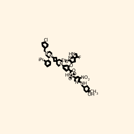 CCOc1nc2[nH]cc(F)c2cc1Oc1cc(N2CCC3(CC2)CC(N2CCN(Cc4ccc(Cl)cc4)C[C@H]2c2ccccc2C(C)C)C3)ccc1C(=O)NS(=O)(=O)c1cnc(NCC2CCC(C)(O)CC2)c([N+](=O)[O-])c1